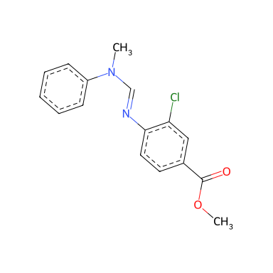 COC(=O)c1ccc(N=CN(C)c2ccccc2)c(Cl)c1